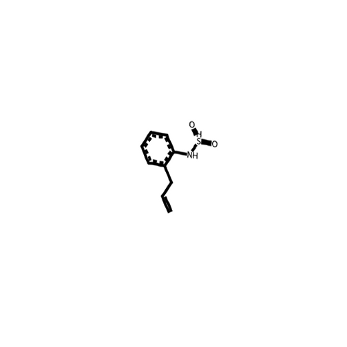 C=CCc1ccccc1N[SH](=O)=O